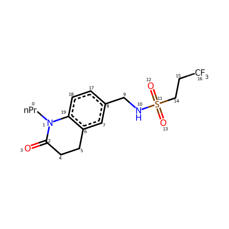 CCCN1C(=O)CCc2cc(CNS(=O)(=O)CCC(F)(F)F)ccc21